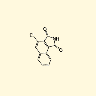 O=C1NC(=O)c2c1c(Cl)cc1ccccc21